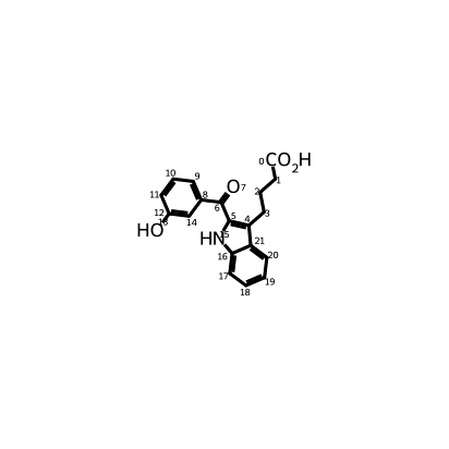 O=C(O)CCCc1c(C(=O)c2cccc(O)c2)[nH]c2ccccc12